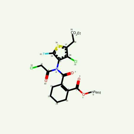 CCCCCOC(=O)C1=C(C(=O)N(C(=O)CCl)c2c(F)sc(CC(=O)OCC)c2Cl)CCCC1